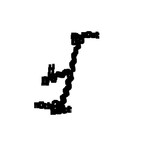 CCCCCCCCC(CC)OC(=O)CCCCCCCN(CCCCCCCC(=O)OC(CCCCCCCC)CCCCCCCC)CCCSNCC